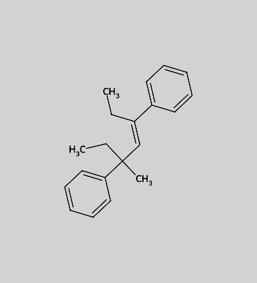 CCC(=CC(C)(CC)c1ccccc1)c1ccccc1